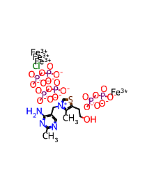 Cc1ncc(C[n+]2csc(CCO)c2C)c(N)n1.O=P([O-])([O-])OP(=O)([O-])[O-].O=P([O-])([O-])OP(=O)([O-])[O-].O=P([O-])([O-])OP(=O)([O-])[O-].[Cl-].[Fe+3].[Fe+3].[Fe+3].[Fe+3]